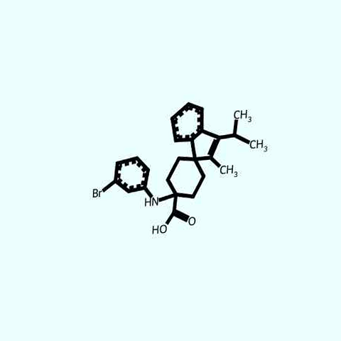 CC1=C(C(C)C)c2ccccc2C12CCC(Nc1cccc(Br)c1)(C(=O)O)CC2